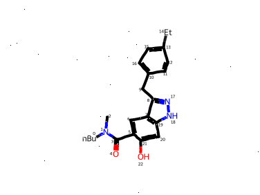 CCCCN(C)C(=O)c1cc2c(Cc3ccc(CC)cc3)n[nH]c2cc1O